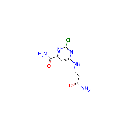 NC(=O)CCNc1cc(C(N)=O)nc(Cl)n1